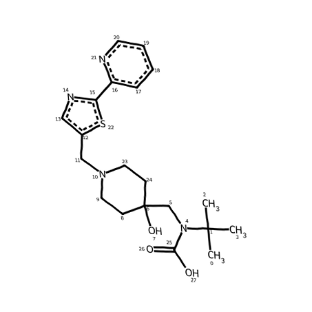 CC(C)(C)N(CC1(O)CCN(Cc2cnc(-c3ccccn3)s2)CC1)C(=O)O